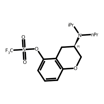 CCCN(C(C)C)[C@H]1COc2cccc(OS(=O)(=O)C(F)(F)F)c2C1